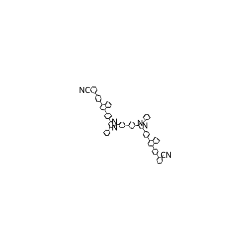 N#Cc1cccc(-c2ccc(-c3ccc(-c4ccc(-c5cc(-c6ccccc6)nc(-c6ccc(-c7ccc(-c8cc(-c9ccc(-c%10ccc(-c%11ccc(-c%12ccccc%12C#N)cc%11)c%11ccccc%10%11)cc9)nc(-c9ccccc9)n8)cc7)cc6)n5)cc4)c4ccccc34)cc2)c1